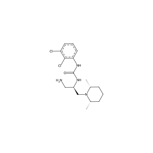 C[C@@H]1CCC[C@H](C)N1C[C@@H](CN)NC(=O)Nc1cccc(Cl)c1Cl